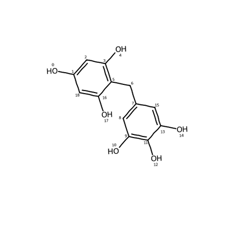 Oc1cc(O)c(Cc2cc(O)c(O)c(O)c2)c(O)c1